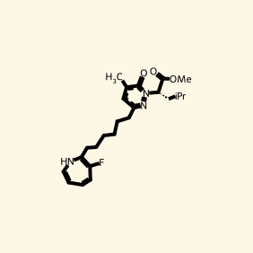 COC(=O)[C@H](CC(C)C)n1nc(CCCCCCC2=C(F)C=CC=CN2)cc(C)c1=O